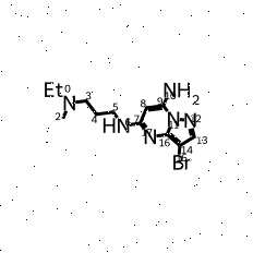 CCN(C)CCCNc1cc(N)n2ncc(Br)c2n1